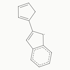 [CH]1C(C2=CC=CC2)=Cc2ccccc21